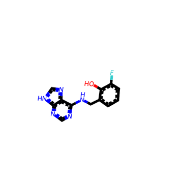 Oc1c(F)cccc1CNc1ncnc2[nH]cnc12